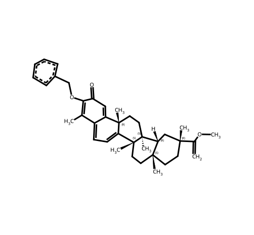 C=C(OC)[C@]1(C)CC[C@]2(C)CC[C@]3(C)C4=CC=C5C(=CC(=O)C(OCc6ccccc6)=C5C)[C@]4(C)CC[C@@]3(C)[C@@H]2C1